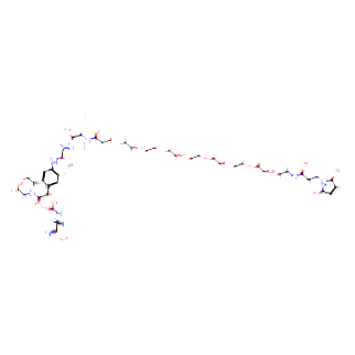 C[C@H](NC(=O)CCOCCOCCOCCOCCOCCOCCOCCOCCNC(=O)CCN1C(=O)C=CC1=O)C(=O)NCC(=O)Nc1ccc(C(OC(=O)NC(C)(C)C(N)=O)C(=O)N2CCOCC2)cc1